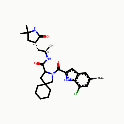 COc1cc(Cl)c2[nH]c(C(=O)N3CC4(CCCCC4)CC3C(=O)N[C@H](C#N)C[C@@H]3CC(C)(C)NC3=O)cc2c1